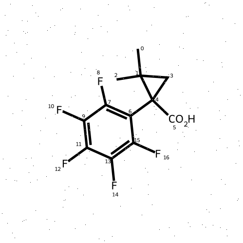 CC1(C)CC1(C(=O)O)c1c(F)c(F)c(F)c(F)c1F